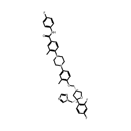 Cc1cc(N2CCN(c3ccc(C(=O)Nc4ccc(F)cc4)cc3C)CC2)ccc1OC[C@@H]1CO[C@@](Cn2cncn2)(c2ccc(F)cc2F)C1